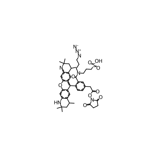 CC1CC(C)(C)Nc2cc3c(cc21)C(c1ccc(CC(=O)ON2C(=O)CCC2=O)cc1C(=O)N(CCCN=[N+]=[N-])CCCS(=O)(=O)O)=c1cc2c(cc1O3)=NC(C)(C)CC2C